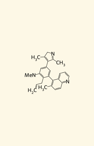 C=CCc1c(NC)cc(C2=C(C)CN=C2C)cc1-c1c(C)ccc2ncccc12